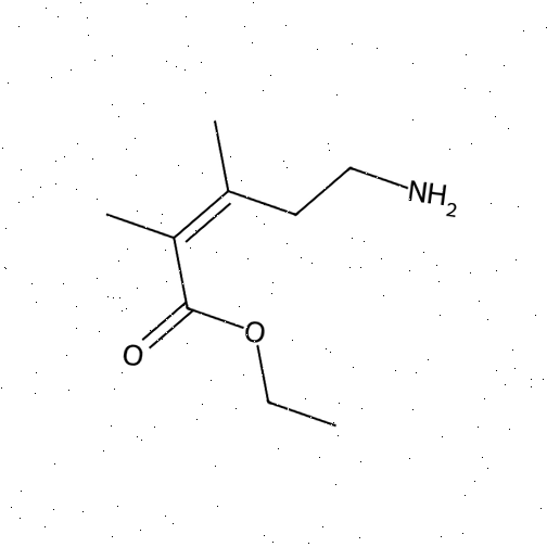 CCOC(=O)C(C)=C(C)CCN